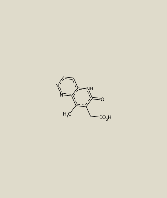 Cc1c(CC(=O)O)c(=O)[nH]c2ccnnc12